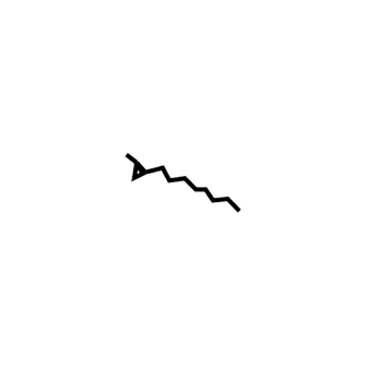 CCCCCCCCC1=C(C)C1